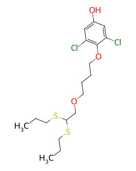 CCCSC(COCCCCOc1c(Cl)cc(O)cc1Cl)SCCC